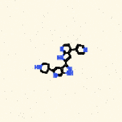 c1cc(-c2ccnc3[nH]c(-c4n[nH]c5cnc(C6CCNCC6)cc45)cc23)ccn1